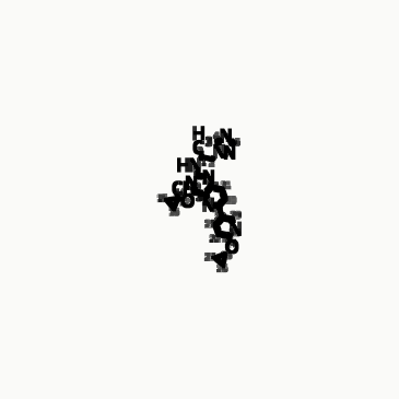 CC(Cn1cncn1)Nc1nc(OC2(C)CC2)c2nc(-c3ccc(OC4CC4)nc3)ccc2n1